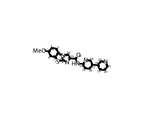 COc1ccc2c(c1)sc1nc(C(=O)Nc3ccc(-c4cccnc4)cn3)cn12